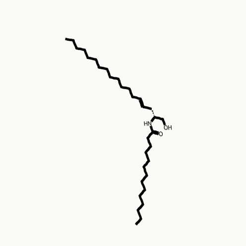 CCCCCCCCCCCCC/C=C/C[C@H](CO)NC(=O)CCCCCCCCCCCCC